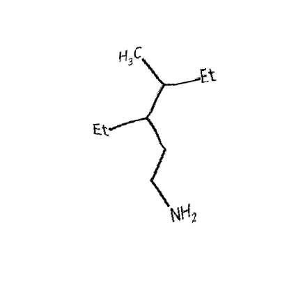 CCC(C)C(CC)CCN